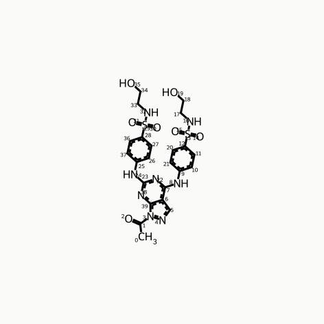 CC(=O)n1ncc2c(Nc3ccc(S(=O)(=O)NCCO)cc3)nc(Nc3ccc(S(=O)(=O)NCCO)cc3)nc21